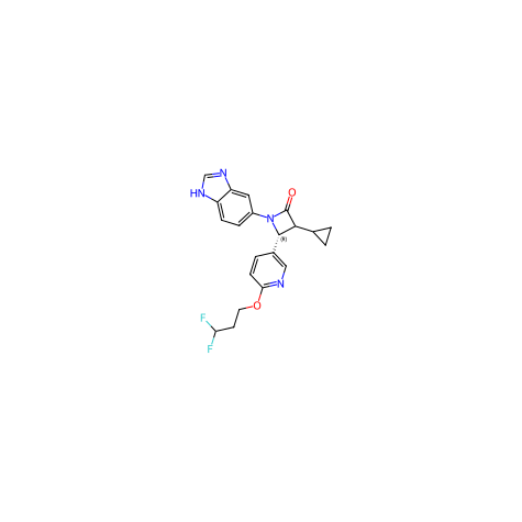 O=C1C(C2CC2)[C@H](c2ccc(OCCC(F)F)nc2)N1c1ccc2[nH]cnc2c1